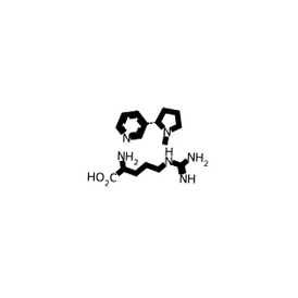 CN1CCC[C@H]1c1cccnc1.N=C(N)NCCCC(N)C(=O)O